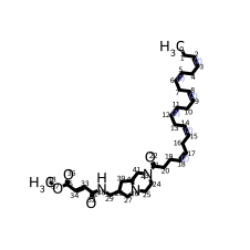 CC/C=C\C/C=C\C/C=C\C/C=C\C/C=C\C/C=C\CCC(=O)N1CCN2CC(CNC(=O)C=CC(=O)OC)CC2C1